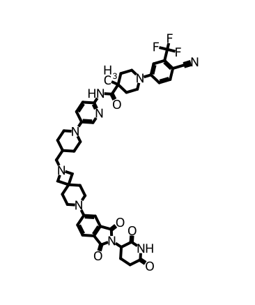 CC1(C(=O)Nc2ccc(N3CCC(CN4CC5(CCN(c6ccc7c(c6)C(=O)N(C6CCC(=O)NC6=O)C7=O)CC5)C4)CC3)cn2)CCN(c2ccc(C#N)c(C(F)(F)F)c2)CC1